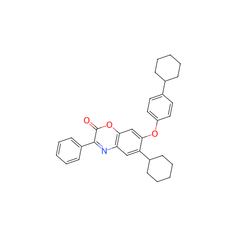 O=c1oc2cc(Oc3ccc(C4CCCCC4)cc3)c(C3CCCCC3)cc2nc1-c1ccccc1